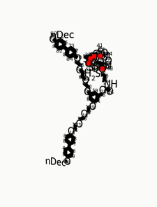 CCCCCCCCCCOc1ccc(-c2ccc(OCCOCCOCCOc3cc(COC(=O)NCC[SiH2]O[Si]45O[Si]6(C)O[Si]7(C)O[Si]8(C)O[Si](C)(O6)O[Si](C)(O[Si](C)(O8)O[Si](C)(O7)O4)O5)cc(OCCOCCOCCOc4ccc(-c5ccc(OCCCCCCCCCC)cc5)cc4)c3)cc2)cc1